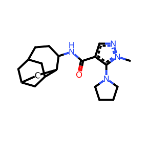 Cn1ncc(C(=O)NC2CCC3CC4CC(C3)C2C4)c1N1CCCC1